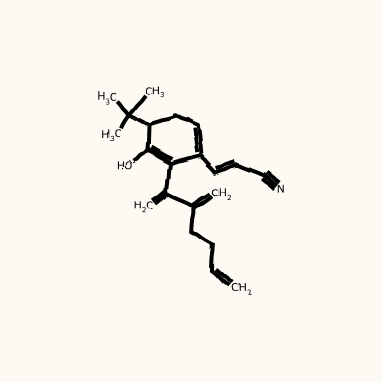 C=CCCC(=C)C(=C)C1=C(O)C(C(C)(C)C)CC=C1/C=C/C#N